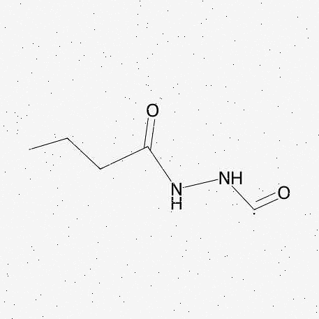 CCCC(=O)NN[C]=O